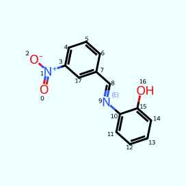 O=[N+]([O-])c1cccc(/C=N/c2ccccc2O)c1